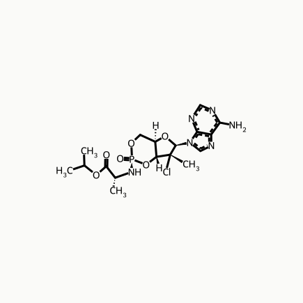 CC(C)OC(=O)[C@@H](C)N[P@@]1(=O)OC[C@H]2O[C@@H](n3cnc4c(N)ncnc43)[C@](C)(Cl)[C@@H]2O1